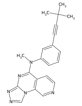 CN(c1cccc(C#CC(C)(C)C)c1)c1nc2nncn2c2cnccc12